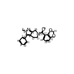 Cn1nc2c(c1-c1ccccc1)CCN(C(=O)c1cccc3c1OCO3)C2